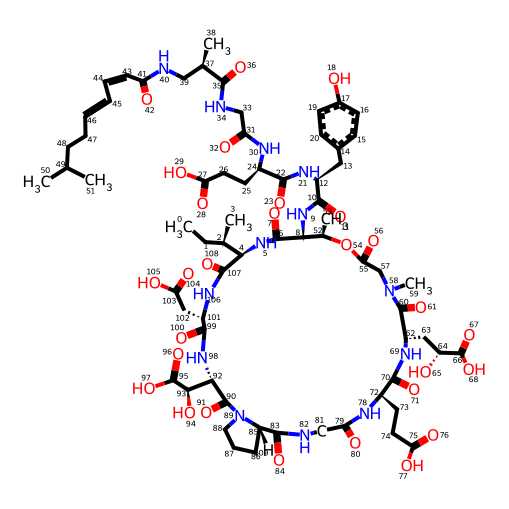 CC[C@@H](C)[C@H]1NC(=O)[C@@H](NC(=O)[C@H](Cc2ccc(O)cc2)NC(=O)[C@@H](CCC(=O)O)NC(=O)CNC(=O)[C@H](C)CNC(=O)/C=C\C=C\CCC(C)C)[C@@H](C)OC(=O)CN(C)C(=O)[C@H](C[C@@H](O)C(=O)O)NC(=O)[C@@H](CCC(=O)O)NC(=O)CNC(=O)[C@@H]2CCCN2C(=O)[C@H]([C@@H](O)C(=O)O)NC(=O)[C@H](CC(=O)O)NC1=O